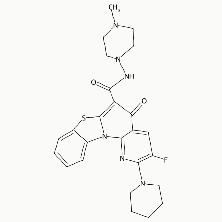 CN1CCN(NC(=O)c2c(=O)c3cc(F)c(N4CCCCC4)nc3n3c2sc2ccccc23)CC1